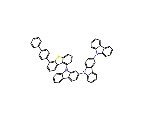 c1ccc(-c2ccc(-c3cccc4c3sc3cccc(-n5c6ccccc6c6ccc(-n7c8ccccc8c8cc(-n9c%10ccccc%10c%10ccccc%109)ccc87)cc65)c34)cc2)cc1